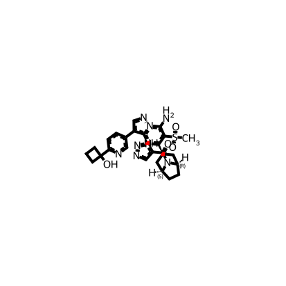 CS(=O)(=O)c1c([C@H]2C[C@H]3CC[C@@H](C2)N3C(=O)c2cnn[nH]2)nc2c(-c3ccc(C4(O)CCC4)nc3)cnn2c1N